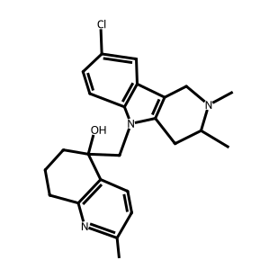 Cc1ccc2c(n1)CCCC2(O)Cn1c2c(c3cc(Cl)ccc31)CN(C)C(C)C2